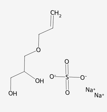 C=CCOCC(O)CO.O=S(=O)([O-])[O-].[Na+].[Na+]